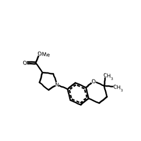 COC(=O)C1CCN(c2ccc3c(c2)OC(C)(C)CC3)C1